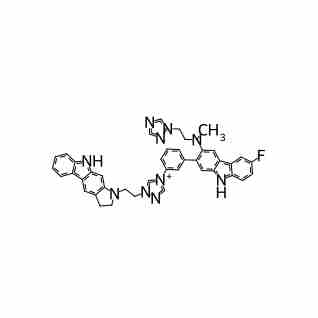 CN(CCn1cncn1)c1cc2c(cc1-c1cccc(-[n+]3cnn(CCN4CCc5cc6c(cc54)[nH]c4ccccc46)c3)c1)[nH]c1ccc(F)cc12